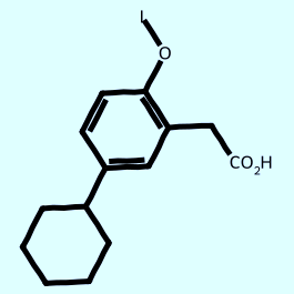 O=C(O)Cc1cc(C2CCCCC2)ccc1OI